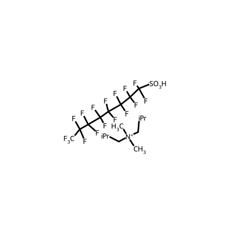 CC(C)C[N+](C)(C)CC(C)C.O=S(=O)(O)C(F)(F)C(F)(F)C(F)(F)C(F)(F)C(F)(F)C(F)(F)C(F)(F)C(F)(F)F